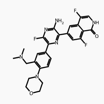 CN(C)Cc1cc(-c2nc(-c3cc(F)c4c(=O)[nH]cc(F)c4c3)c(N)nc2F)ccc1N1CCOCC1